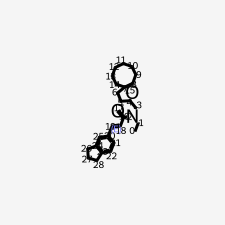 CCN(CC1CCC2(CCCCCCC2)O1)C(=O)/C=C/c1ccc2c(c1)CCC2